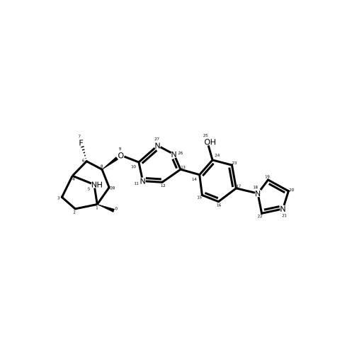 C[C@@]12CCC(N1)[C@H](F)[C@@H](Oc1ncc(-c3ccc(-n4ccnc4)cc3O)nn1)C2